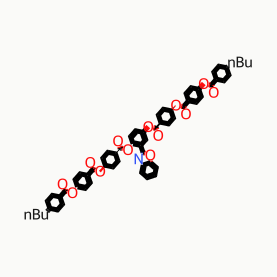 CCCCC1CCC(C(=O)Oc2ccc(C(=O)O[C@H]3CC[C@H](C(=O)Oc4ccc(OC(=O)[C@H]5CC[C@H](OC(=O)c6ccc(OC(=O)C7CCC(CCCC)CC7)cc6)CC5)c(-c5nc6ccccc6o5)c4)CC3)cc2)CC1